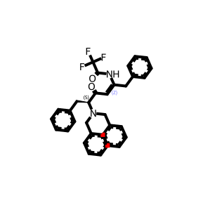 O=C(/C=C(/Cc1ccccc1)NC(=O)C(F)(F)F)[C@H](Cc1ccccc1)N(Cc1ccccc1)Cc1ccccc1